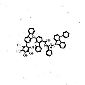 N=C(/N=C(\NSn1c2ccccc2c2c(-c3ccccc3)cccc21)c1ccccc1)c1ccc(-n2c3ccccc3c3ccc(-c4c(O)c(O)c(O)c(O)c4O)cc32)c2sc3ccccc3c12